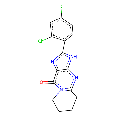 O=c1c2nc(-c3ccc(Cl)cc3Cl)[nH]c2nc2n1CCCC2